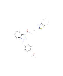 O=C(NCCc1nc2c(s1)CCCC2)c1nn(Cc2ccc(OC(F)F)cc2)c2ccccc12